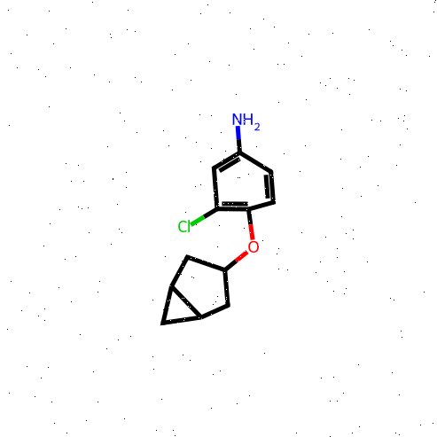 Nc1ccc(OC2CC3CC3C2)c(Cl)c1